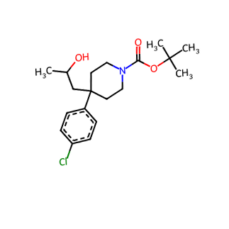 CC(O)CC1(c2ccc(Cl)cc2)CCN(C(=O)OC(C)(C)C)CC1